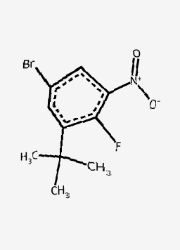 CC(C)(C)c1cc(Br)cc([N+](=O)[O-])c1F